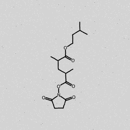 CC(C)CCOC(=O)C(C)CC(C)C(=O)ON1C(=O)CCC1=O